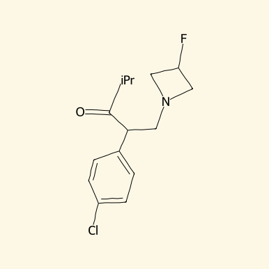 CC(C)C(=O)C(CN1CC(F)C1)c1ccc(Cl)cc1